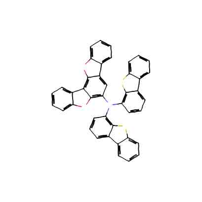 c1ccc2c(c1)oc1c2cc(N(c2cccc3c2sc2ccccc23)c2cccc3c2sc2ccccc23)c2oc3ccccc3c21